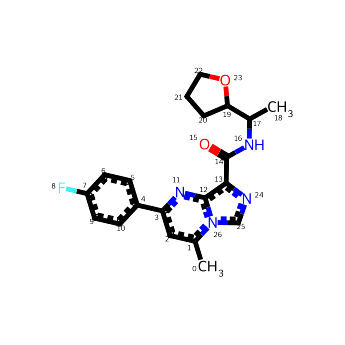 Cc1cc(-c2ccc(F)cc2)nc2c(C(=O)NC(C)C3CCCO3)ncn12